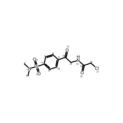 CN(C)S(=O)(=O)c1ccc(C(=O)CNC(=O)CCl)cc1